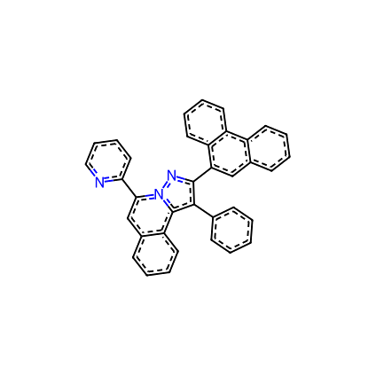 c1ccc(-c2c(-c3cc4ccccc4c4ccccc34)nn3c(-c4ccccn4)cc4ccccc4c23)cc1